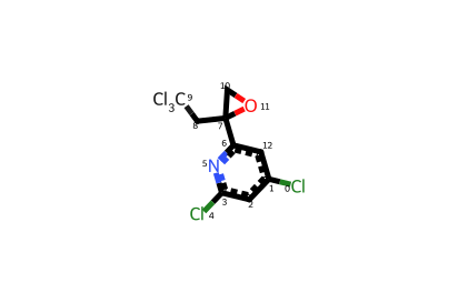 Clc1cc(Cl)nc(C2(CC(Cl)(Cl)Cl)CO2)c1